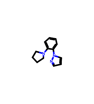 c1ccc(-n2cccn2)c(N2CCCC2)c1